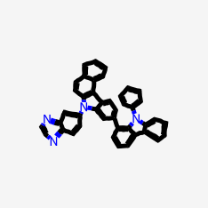 c1ccc(-n2c3ccccc3c3cccc(-c4ccc5c6c7ccccc7ccc6n(-c6ccc7nccnc7c6)c5c4)c32)cc1